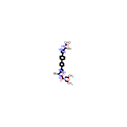 CC1CN(C(=O)C(=O)NC(c2nc(-c3ccc(-c4ccc(-c5c[nH]c(C(NC(=O)C=O)C(C)(C)C)n5)cc4)cc3)c[nH]2)C(C)(C)C)CC(C)O1